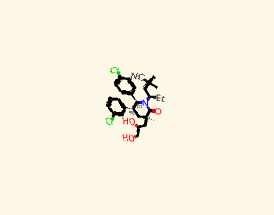 CCC(CC(C)(C)C#N)N1C(=O)[C@@](C)(CC(O)CO)C[C@H](c2cccc(Cl)c2)[C@H]1c1ccc(Cl)cc1